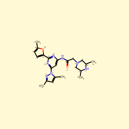 Cc1cc(C)n(-c2cc(NC(=O)CN3CC(C)NC(C)C3)nc(-c3ccc(C)o3)n2)n1